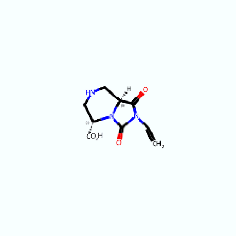 C=CN1C(=O)[C@@H]2CNC[C@@H](C(=O)O)N2C1=O